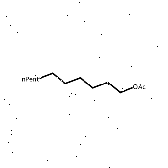 CCCCCCCCCC[CH]OC(C)=O